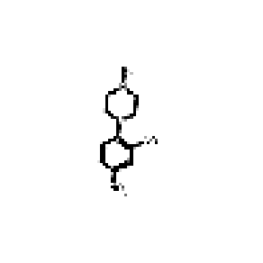 CCN1CCN(c2ccc([N+](=O)[O-])cc2[N+](=O)[O-])CC1